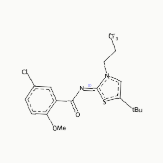 COc1ccc(Cl)cc1C(=O)/N=c1\sc(C(C)(C)C)cn1CCC(F)(F)F